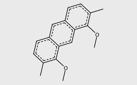 COc1c(C)ccc2cc3ccc(C)c(OC)c3cc12